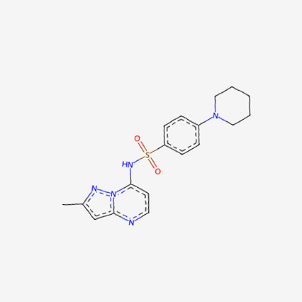 Cc1cc2nccc(NS(=O)(=O)c3ccc(N4CCCCC4)cc3)n2n1